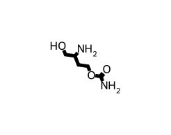 NC(=O)OCCC(N)CO